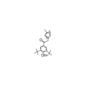 Cc1c[n+](CC(=O)c2cc(C(C)(C)C)c(O)c(C(C)(C)C)c2)cs1